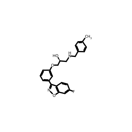 Cc1ccc(CNC[C@H](O)COc2cccc(-c3noc4cc(F)ccc34)c2)cc1